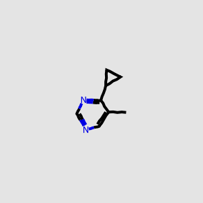 Cc1cncnc1C1CC1